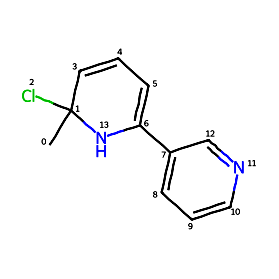 CC1(Cl)C=CC=C(c2cccnc2)N1